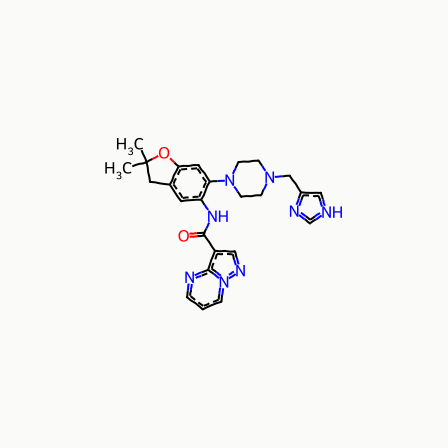 CC1(C)Cc2cc(NC(=O)c3cnn4cccnc34)c(N3CCN(Cc4c[nH]cn4)CC3)cc2O1